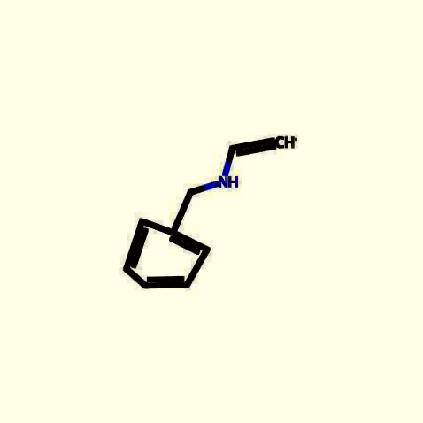 [CH]=CNCc1ccccc1